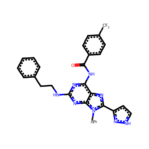 CCCn1c(-c2cc[nH]n2)nc2c(NC(=O)c3ccc(C(F)(F)F)cc3)nc(NCCc3ccccc3)nc21